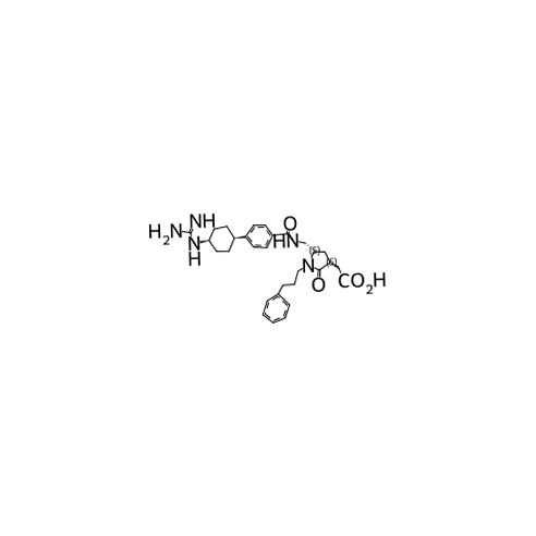 N=C(N)N[C@H]1CC[C@@H](c2ccc(C(=O)NC[C@@H]3C[C@@H](CC(=O)O)C(=O)N3CCCc3ccccc3)cc2)CC1